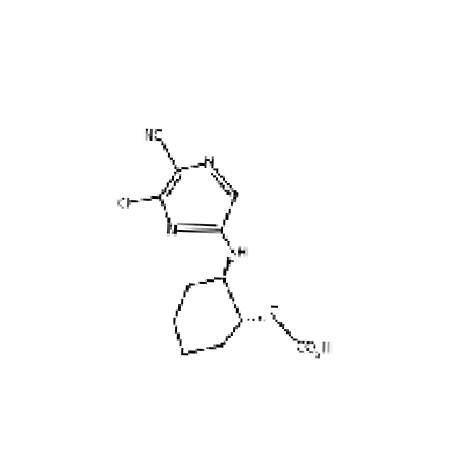 N#Cc1ncc(N[C@@H]2CCCC[C@H]2NC(=O)O)nc1Cl